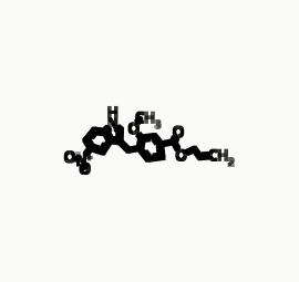 C=CCOC(=O)c1ccc(Cc2c[nH]c3ccc([N+](=O)[O-])cc23)c(OC)c1